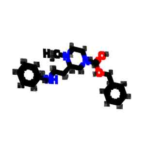 CN1CCN(C(=O)OCc2ccccc2)C[C@H]1CCNc1ccccc1